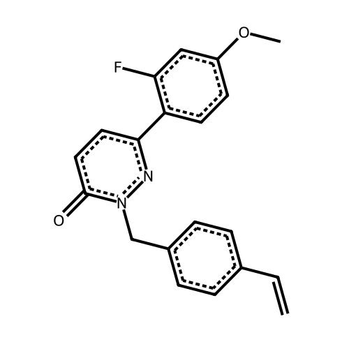 C=Cc1ccc(Cn2nc(-c3ccc(OC)cc3F)ccc2=O)cc1